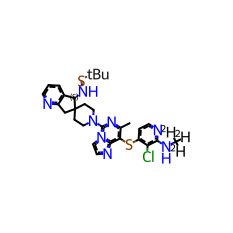 [2H]C([2H])([2H])Nc1nccc(Sc2c(C)nc(N3CCC4(CC3)Cc3ncccc3[C@H]4NSC(C)(C)C)n3ccnc23)c1Cl